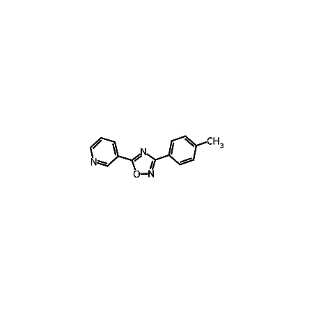 Cc1ccc(-c2noc(-c3cccnc3)n2)cc1